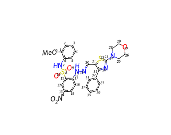 COc1ccccc1NS(=O)(=O)c1cc([N+](=O)[O-])ccc1N/N=C/c1sc(N2CCOCC2)nc1-c1ccccc1